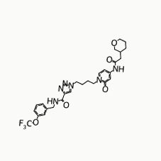 O=C(CC1CCCOC1)Nc1ccn(CCCCn2cc(C(=O)NCc3cccc(OC(F)(F)F)c3)nn2)c(=O)c1